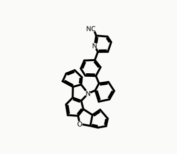 N#Cc1cccc(-c2cccc(-c3ccccc3-n3c4ccccc4c4ccc5oc6ccccc6c5c43)c2)n1